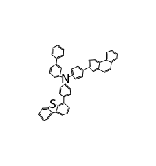 c1ccc(-c2cccc(N(c3ccc(-c4ccc5c(ccc6ccccc65)c4)cc3)c3ccc(-c4cccc5c4sc4ccccc45)cc3)c2)cc1